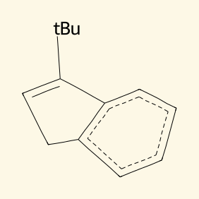 CC(C)(C)C1=CCc2ccccc21